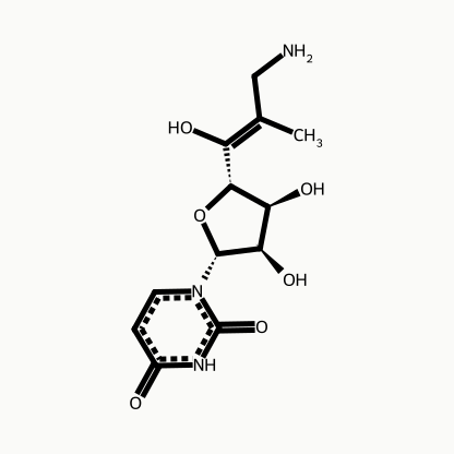 C/C(CN)=C(/O)[C@H]1O[C@@H](n2ccc(=O)[nH]c2=O)[C@H](O)[C@@H]1O